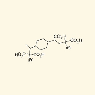 CC(C)C(CCC1CCC(C(C)C(C(=O)O)(C(=O)O)C(C)C)CC1)(C(=O)O)C(=O)O